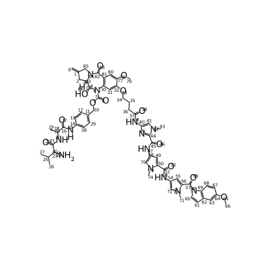 C=C1C[C@H]2[C@H](O)N(C(=O)OCc3ccc(NC(=O)[C@H](C)NC(=O)[C@@H](N)C(C)C)cc3)c3cc(OCCCC(=O)Nc4cn(C)c(C(=O)Nc5cc(C(=O)Nc6cc(C(=O)n7ccc8cc(OC)ccc87)n(C)c6)n(C)c5)n4)c(OC)cc3C(=O)N2C1